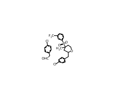 CC1(S(=O)(=O)c2cccc(C(F)(F)F)c2)CCOC(Cc2ccc(Cl)cc2)C1.O=CCc1ccc(Cl)cc1